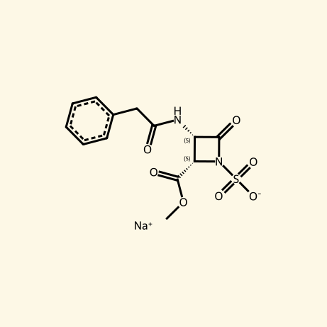 COC(=O)[C@@H]1[C@H](NC(=O)Cc2ccccc2)C(=O)N1S(=O)(=O)[O-].[Na+]